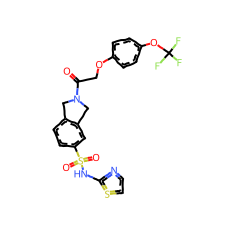 O=C(COc1ccc(OC(F)(F)F)cc1)N1Cc2ccc(S(=O)(=O)Nc3nccs3)cc2C1